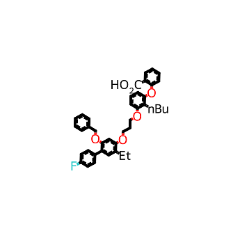 CCCCc1c(OCCCOc2cc(OCc3ccccc3)c(-c3ccc(F)cc3)cc2CC)cccc1Oc1ccccc1C(=O)O